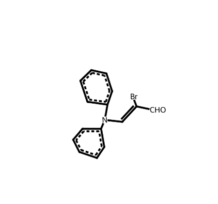 O=CC(Br)=CN(c1ccccc1)c1ccccc1